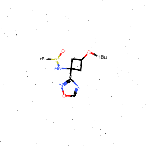 CCCCOC1CC(N[S+]([O-])C(C)(C)C)(c2ncon2)C1